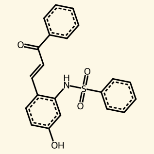 O=C(C=Cc1ccc(O)cc1NS(=O)(=O)c1ccccc1)c1ccccc1